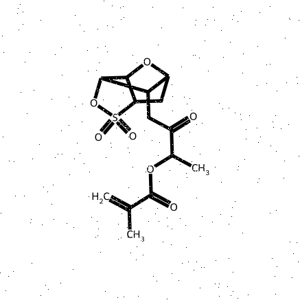 C=C(C)C(=O)OC(C)C(=O)CC1C2CC3C(O2)C1OS3(=O)=O